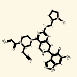 C=CC(=O)N1CCN(c2nc(OCC3CCCN3C)nc3c2CNC(c2c(Cl)c(C)cc4[nH]ncc24)C3)CC1CC#N